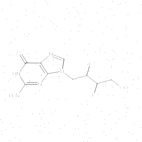 Nc1nc2c(ncn2CC(F)C(F)CO)c(=O)[nH]1